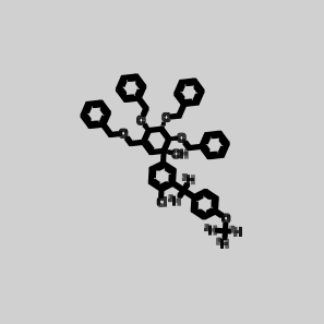 [2H]C([2H])([2H])Oc1ccc(C([2H])([2H])c2cc([C@]3(O)C=C(COCc4ccccc4)[C@@H](OCc4ccccc4)[C@H](OCc4ccccc4)[C@H]3OCc3ccccc3)ccc2Cl)cc1